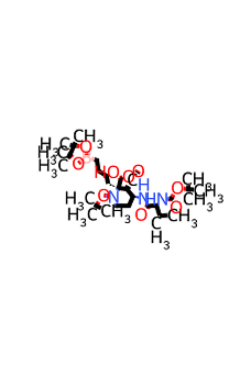 CC(C)[C@@H](NC(=O)OC(C)(C)C)C(=O)N[C@H]1CCN(OC(C)(C)C)[C@@](CCCCB2OC(C)(C)C(C)(C)O2)(C(=O)O)C1=C=O